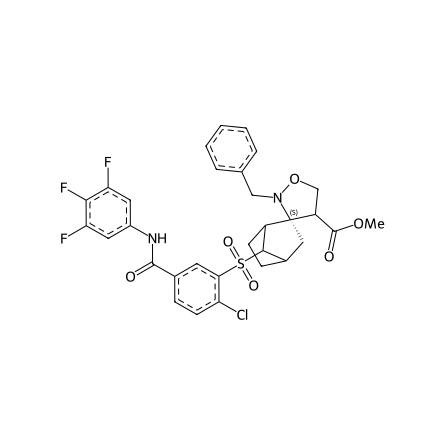 COC(=O)C1CON(Cc2ccccc2)[C@@]12CC1CCC2C1S(=O)(=O)c1cc(C(=O)Nc2cc(F)c(F)c(F)c2)ccc1Cl